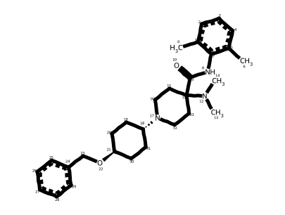 Cc1cccc(C)c1NC(=O)C1(N(C)C)CCN([C@H]2CC[C@H](OCc3ccccc3)CC2)CC1